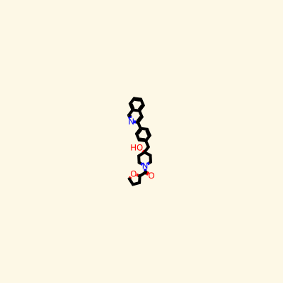 O=C(C1CCCO1)N1CCC(O)(Cc2ccc(-c3cc4ccccc4cn3)cc2)CC1